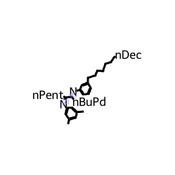 CCCCCCCCCCCCCCCCCc1cccc(/N=C(CCCC)/C(CCCCC)=N\c2cc(C)cc(C)c2)c1.[Pd]